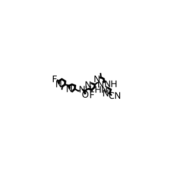 Cc1cc(Nc2cc(C#N)n[nH]2)nc(-c2cnc(C(=O)NCc3ccc(-c4ccc(F)nc4C)nc3)c(F)c2)n1